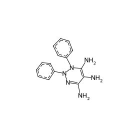 NC1=NN(c2ccccc2)N(c2ccccc2)C(N)=C1N